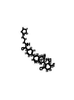 O=C(NCCCN1CCCC1)c1ccc(-c2cnc3c(c2)C2C[C@H]2C(c2c(Cl)ccc(F)c2Cl)N3)cc1